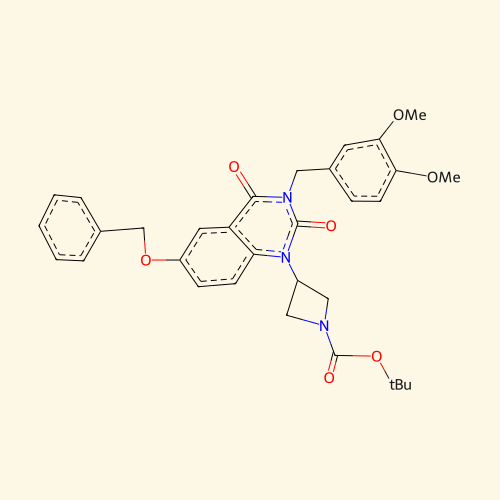 COc1ccc(Cn2c(=O)c3cc(OCc4ccccc4)ccc3n(C3CN(C(=O)OC(C)(C)C)C3)c2=O)cc1OC